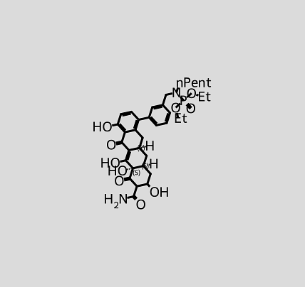 CCCCCN(Cc1cccc(-c2ccc(O)c3c2C[C@H]2C[C@H]4CC(O)C(C(N)=O)C(=O)[C@@]4(O)C(O)=C2C3=O)c1)P(=O)(OCC)OCC